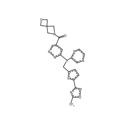 O=C(c1cnnc(N(Cc2ccc(-c3noc(C(F)(F)F)n3)s2)c2cnccn2)c1)N1CC2(COC2)C1